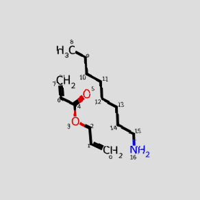 C=CCOC(=O)C=C.CCCCCCCCN